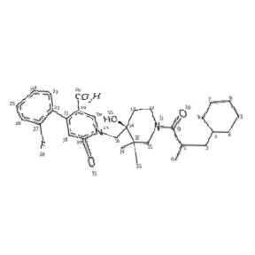 CC(CC1CCCCC1)C(=O)N1CC[C@@](O)(Cn2cc(C(=O)O)c(-c3ccccc3F)cc2=O)C(C)(C)C1